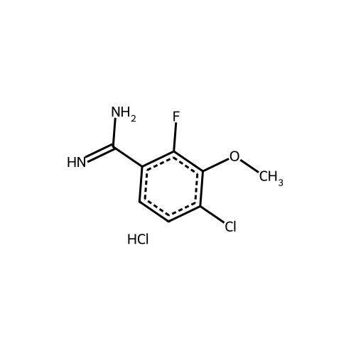 COc1c(Cl)ccc(C(=N)N)c1F.Cl